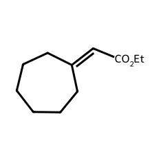 CCOC(=O)C=C1CCCCCC1